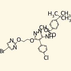 Cn1nc(OCCOc2ncc(Br)cn2)c(-c2ccc(Cl)cc2)c1NS(=O)(=O)c1ccc(C(C)(C)C)cc1